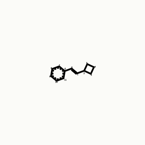 C(=C\C1CCC1)/c1ccccc1